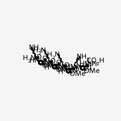 COc1ccc(NC(=O)[C@H](CCCCCN)NC(=O)c2cc(NC(=O)[C@H](CCCCCN)NC(=O)c3cc(NC(=O)[C@@H](N)CCCCN)ccc3OC)ccc2OC)cc1C(=O)N[C@@H](CCCCN)C(=O)Nc1ccc(OC)c(C(=O)N[C@H](C(=O)O)C(C)C)c1